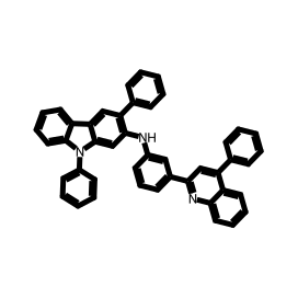 c1ccc(-c2cc3c4ccccc4n(-c4ccccc4)c3cc2Nc2cccc(-c3cc(-c4ccccc4)c4ccccc4n3)c2)cc1